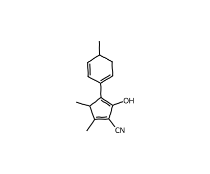 CC1=C(C#N)C(O)=C(C2=CCC(C)C=C2)C1C